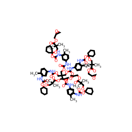 Cc1ccc(NC(=O)OCC(COC(=O)Nc2ccc(C)c(NC(=O)OC3(OCC(C)(C)C(=O)OCC4CO4)CCCCC3)c2)(COC(=O)Nc2ccc(C)c(NC(=O)OC3(OCC(C)(C)C(=O)OCC4CO4)CCCCC3)c2)COC(=O)Nc2ccc(C)c(NC(=O)OC3(OCC(C)(C)C(=O)OCC4CO4)CCCCC3)c2)cc1NC(=O)OC1(OCC(C)(C)C(=O)OCC2CO2)CCCCC1